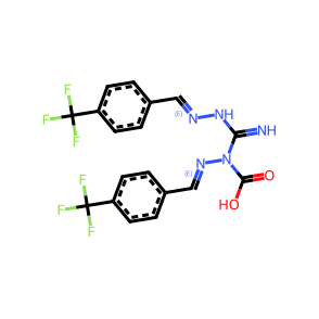 N=C(N/N=C/c1ccc(C(F)(F)F)cc1)N(/N=C/c1ccc(C(F)(F)F)cc1)C(=O)O